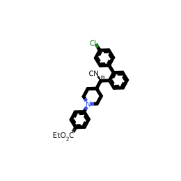 [C-]#[N+][C@@H](c1ccccc1-c1ccc(Cl)cc1)C1CCN(c2ccc(C(=O)OCC)cc2)CC1